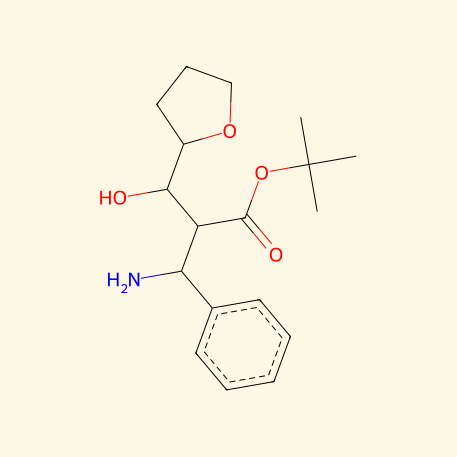 CC(C)(C)OC(=O)C(C(N)c1ccccc1)C(O)C1CCCO1